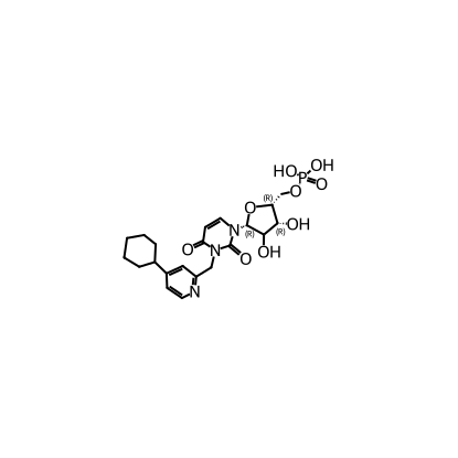 O=c1ccn([C@@H]2O[C@H](COP(=O)(O)O)[C@H](O)C2O)c(=O)n1Cc1cc(C2CCCCC2)ccn1